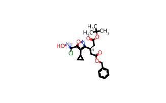 CC(C)(C)OC(=O)C[C@@H](CC(=O)OCc1ccccc1)c1noc(/C(Cl)=N/O)c1C1CC1